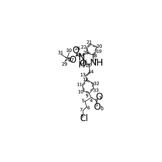 COC(=O)C(CCCCl)c1ccc(C=CC(=O)Nc2ccccc2NC(=O)OC(C)(C)C)cc1